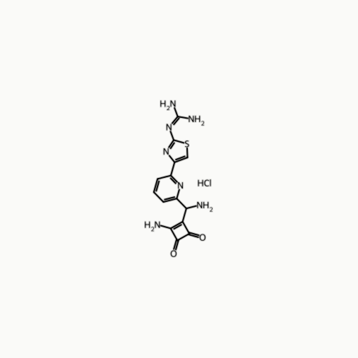 Cl.NC(N)=Nc1nc(-c2cccc(C(N)c3c(N)c(=O)c3=O)n2)cs1